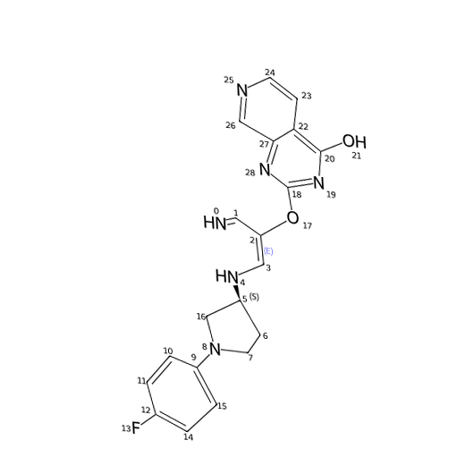 N=C/C(=C\N[C@H]1CCN(c2ccc(F)cc2)C1)Oc1nc(O)c2ccncc2n1